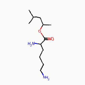 CC(C)CC(C)OC(=O)C(N)CCCCN